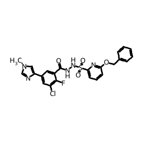 Cn1cnc(-c2cc(Cl)c(F)c(C(=O)NNS(=O)(=O)c3cccc(OCc4ccccc4)n3)c2)c1